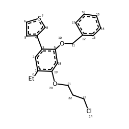 CCc1cc(-c2ccsc2)c(OCc2ccccc2)cc1OCCCCl